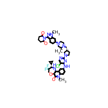 C[C@H]1CN(c2ccc3c(N4C(=O)CCCC4=O)nn(C)c3c2)CCN1C[C@@H]1CCN(c2ncc(Cl)c(Nc3ccc4c(c3)c3c(c(=O)n4C)OCC(F)(F)[C@H](C4CC4)N3)n2)C1